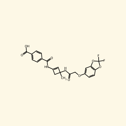 CC1(NC(=O)COc2ccc3c(c2)OC(F)(F)O3)C=C(NC(=O)c2ccc(C(=O)O)cc2)C1